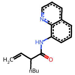 C=CC(CCCC)C(=O)Nc1cccc2cccnc12